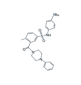 Cc1ccc(S(=O)(=O)Nc2ccc(C(C)(C)C)cc2)cc1C(=O)N1CCN(c2ccccc2)CC1